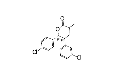 CC1C[C@H](c2cccc(Cl)c2)[C@H](c2ccc(Cl)cc2)OC1=O